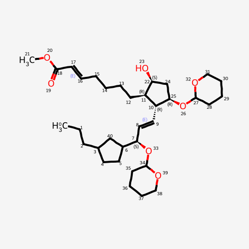 CCCC1CCC([C@@H](/C=C/[C@@H]2[C@@H](CCCC/C=C/C(=O)OC)[C@@H](O)C[C@H]2OC2CCCCO2)OC2CCCCO2)C1